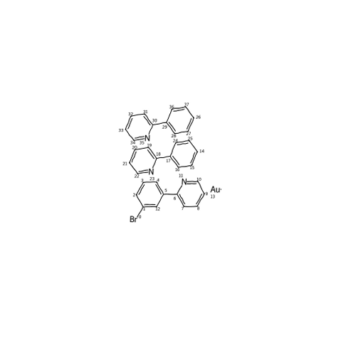 Brc1cccc(-c2ccccn2)c1.[Au].c1ccc(-c2ccccn2)cc1.c1ccc(-c2ccccn2)cc1